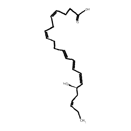 CC/C=C\C[C@@H](O)\C=C/C=C/C=C/CC/C=C\C/C=C\CCC(=O)O